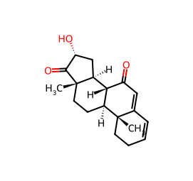 C[C@]12CCC=CC1=CC(=O)[C@@H]1[C@@H]2CC[C@]2(C)C(=O)[C@H](O)C[C@@H]12